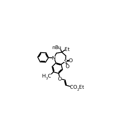 CCCCC1(CC)CN(c2ccccc2)c2cc(C)c(O/C=C/C(=O)OCC)cc2S(=O)(=O)C1